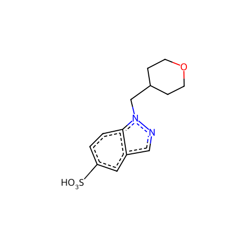 O=S(=O)(O)c1ccc2c(cnn2CC2CCOCC2)c1